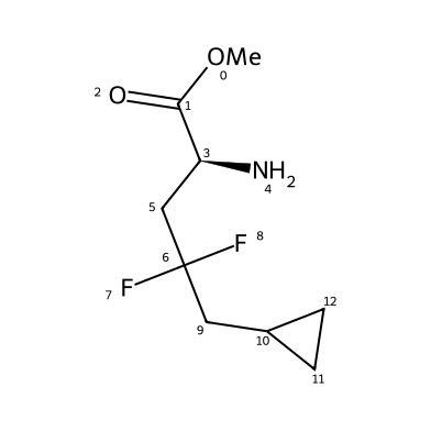 COC(=O)[C@@H](N)CC(F)(F)CC1CC1